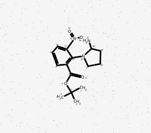 CC(C)(C)OC(=O)c1cccc([N+](=O)[O-])c1N1CCCC1N